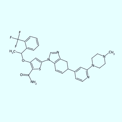 CC(Oc1cc(-n2cnc3c2C=CC(c2ccnc(N4CCN(C)CC4)c2)C3)sc1C(N)=O)c1ccccc1C(F)(F)F